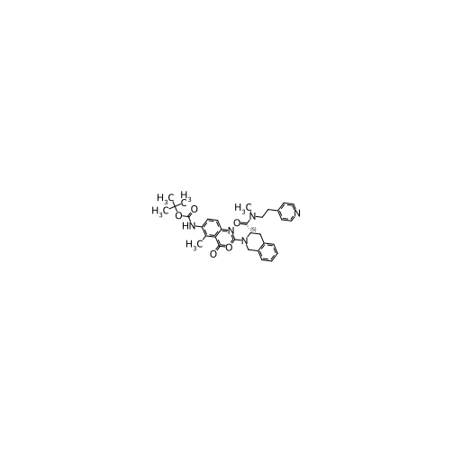 Cc1c(NC(=O)OC(C)(C)C)ccc2nc(N3Cc4ccccc4C[C@H]3C(=O)N(C)CCc3ccncc3)oc(=O)c12